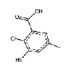 Cc1cc(S)c(Cl)c(C(=O)O)c1